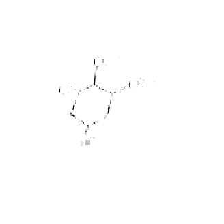 CCCC1CCC(C(=O)[O-])C(C(=O)[O-])C1.[Ca+2]